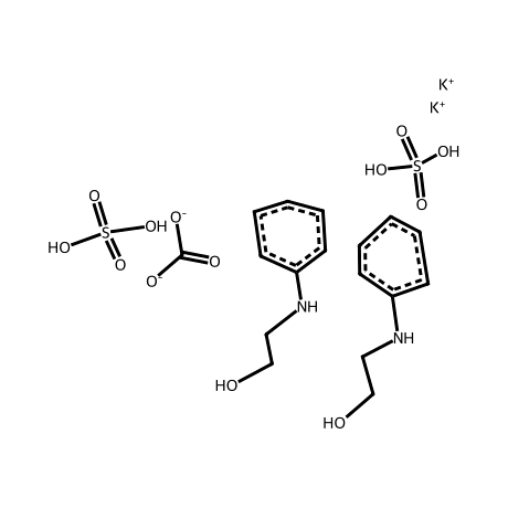 O=C([O-])[O-].O=S(=O)(O)O.O=S(=O)(O)O.OCCNc1ccccc1.OCCNc1ccccc1.[K+].[K+]